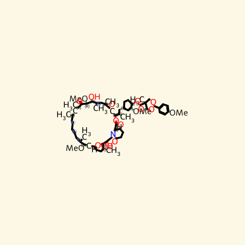 COc1ccc(C2OCC(C)(C(=O)O[C@@H]3CC[C@@H](C[C@@H](C)[C@@H]4CC(=O)[C@H](C)/C=C(\C)[C@@H](O)[C@@H](OC)C(=O)[C@H](C)C[C@H](C)/C=C/C=C/C=C(\C)[C@@H](OC)C[C@@H]5CC[C@@H](C)[C@@](O)(O5)C(=O)C(=O)N5CCCC[C@H]5C(=O)O4)C[C@H]3OC)CO2)cc1